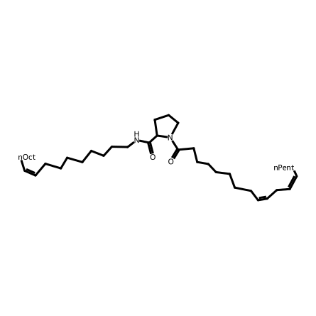 CCCCC/C=C\C/C=C\CCCCCCCC(=O)N1CCCC1C(=O)NCCCCCCCC/C=C\CCCCCCCC